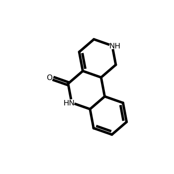 O=C1NC2C=CC=CC2C2CNCC=C12